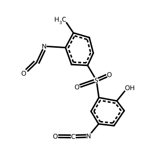 Cc1ccc(S(=O)(=O)c2cc(N=C=O)ccc2O)cc1N=C=O